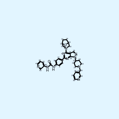 O=C(Nc1ccc(-c2nc(N3CC4CCC(C3)O4)c3cnn(C4CCN(Cc5cccnc5)CC4)c3n2)cc1)Nc1cccnc1